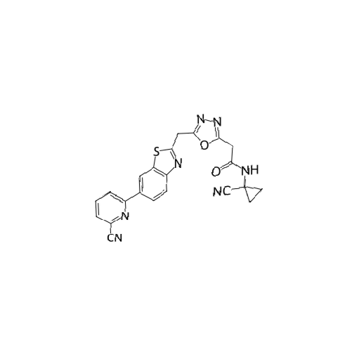 N#Cc1cccc(-c2ccc3nc(Cc4nnc(CC(=O)NC5(C#N)CC5)o4)sc3c2)n1